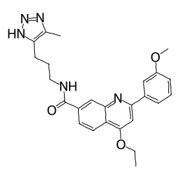 CCOc1cc(-c2cccc(OC)c2)nc2cc(C(=O)NCCCc3[nH]nnc3C)ccc12